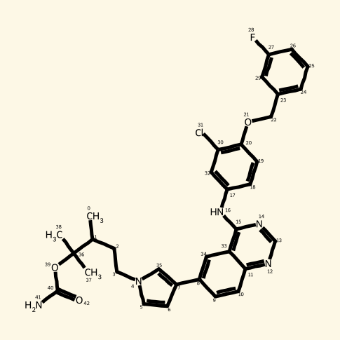 CC(CCn1ccc(-c2ccc3ncnc(Nc4ccc(OCc5cccc(F)c5)c(Cl)c4)c3c2)c1)C(C)(C)OC(N)=O